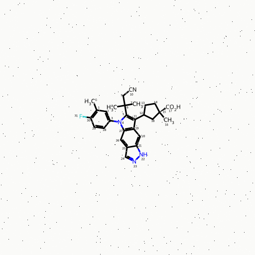 Cc1cc(-n2c(C(C)(C)CC#N)c(C3CC[C@@](C)(C(=O)O)C3)c3cc4[nH]ncc4cc32)ccc1F